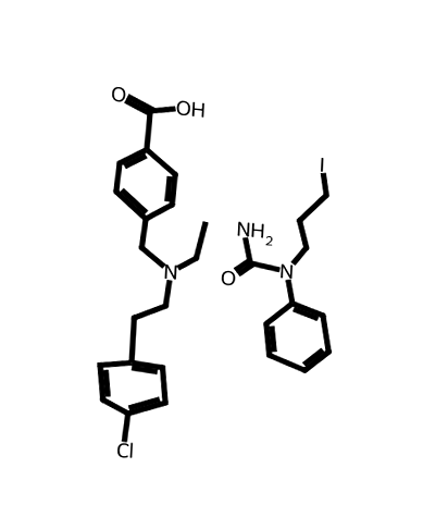 CCN(CCc1ccc(Cl)cc1)Cc1ccc(C(=O)O)cc1.NC(=O)N(CCCI)c1ccccc1